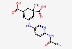 CC(=O)Nc1ccc(NC2=CC(C)(C(=O)O)CC(C(=O)O)=C2)cn1